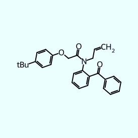 C=CCN(C(=O)COc1ccc(C(C)(C)C)cc1)c1ccccc1C(=O)c1ccccc1